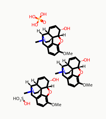 COc1ccc2c3c1O[C@H]1[C@@H](O)C=C[C@H]4[C@@H](C2)N(C)CC[C@@]341.COc1ccc2c3c1O[C@H]1[C@@H](O)C=C[C@H]4[C@@H](C2)N(C)CC[C@@]341.COc1ccc2c3c1O[C@H]1[C@@H](O)C=C[C@H]4[C@@H](C2)N(C)CC[C@@]341.O=P(O)(O)O.O=S(=O)(O)O